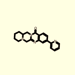 O=c1c2ccc(-c3ccccn3)cc2nc2n1CC1CCCCN1C2